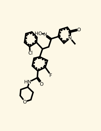 Cn1cc(/C(CC(c2ccc(C(=O)NC3CCOCC3)c(F)c2)c2ccccc2Cl)=N/O)ccc1=O